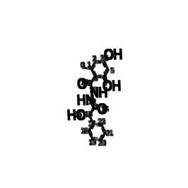 Cc1cc(O)cc(O)c1C(=O)NNC(=O)C(O)c1ccccc1